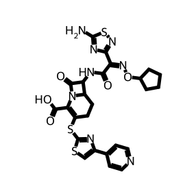 Nc1nc(/C(=N/OC2CCCC2)C(=O)NC2C(=O)N3C(C(=O)O)=C(Sc4nc(-c5ccncc5)cs4)CCC23)ns1